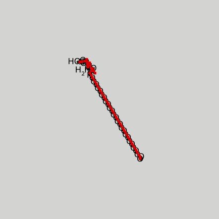 CCCN(CCCN(C)CCOCCOCCOCCOCCOCCOCCOCCOCCOCCOCCOCCOCCOCCOCCOCCOCCOCCOCCOCCOCCOCCOCCOCCOCCC(=O)OC(C)(C)C)C(=O)C1=Cc2ccc(-c3cccc(S(=O)(=O)N4CC(CO)C4)c3)cc2N=C(N)C1